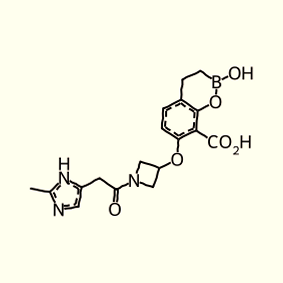 Cc1ncc(CC(=O)N2CC(Oc3ccc4c(c3C(=O)O)OB(O)CC4)C2)[nH]1